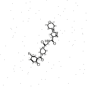 O=C(NCC(=O)N1CCN(C(=O)c2cc(F)ccc2Cl)CC1)C1CN(N2CCOCC2)N=N1